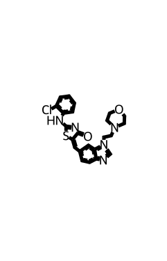 O=C1N=C(Nc2ccccc2Cl)SC1=Cc1ccc2ncn(CCN3CCOCC3)c2c1